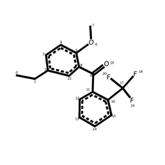 CCc1ccc(OC)c(C(=O)c2ccccc2C(F)(F)F)c1